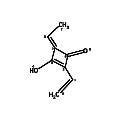 C=CC1=C(O)C(=CC)C1=O